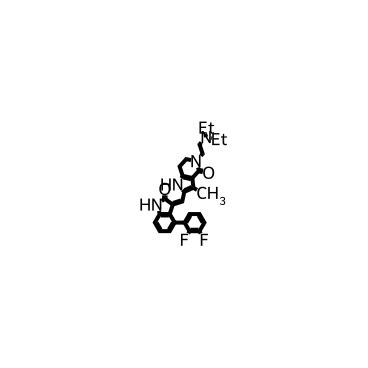 CCN(CC)CCN1CCc2[nH]c(C=C3C(=O)Nc4cccc(-c5cccc(F)c5F)c43)c(C)c2C1=O